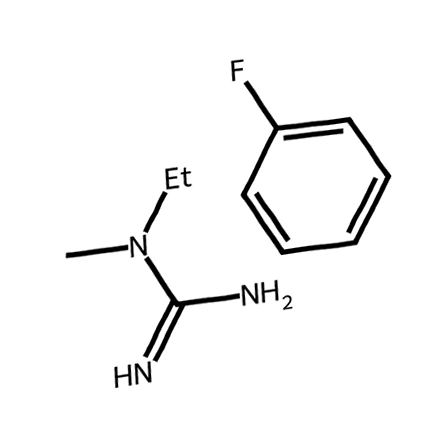 CCN(C)C(=N)N.Fc1ccccc1